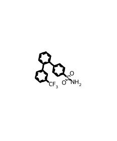 NS(=O)(=O)c1ccc(-c2ccccc2-c2cccc(C(F)(F)F)c2)cc1